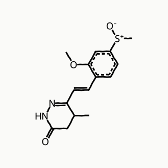 COc1cc([S+](C)[O-])ccc1C=CC1=NNC(=O)CC1C